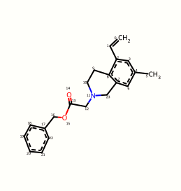 C=Cc1cc(C)cc2c1CCN(CC(=O)OCc1ccccc1)C2